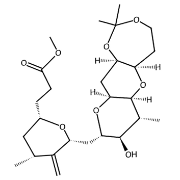 C=C1[C@H](C)C[C@H](CCC(=O)OC)O[C@@H]1C[C@@H]1O[C@H]2C[C@H]3OC(C)(C)OCC[C@H]3O[C@H]2[C@H](C)[C@H]1O